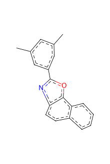 Cc1cc(C)cc(-c2nc3ccc4ccccc4c3o2)c1